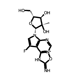 C[C@@]1(O)[C@H](O)[C@@H](CO)O[C@H]1n1cc(F)c2c1nc[n+]1oc(=N)[nH]c21